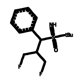 CC(C)(C)S(=N)(=O)C(c1ccccc1)C(CF)CF